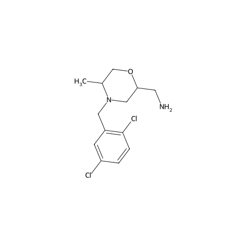 CC1COC(CN)CN1Cc1cc(Cl)ccc1Cl